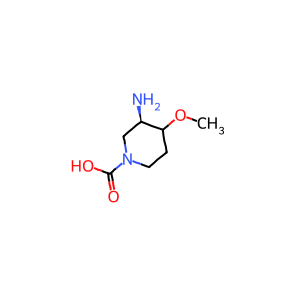 COC1CCN(C(=O)O)C[C@H]1N